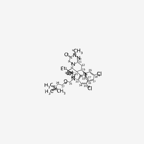 C=C(CC)[C@H]1N2CC(=O)N(C)N=C2C[C@@H](c2cccc(Cl)c2)[C@]12C(=O)N(COCC[Si](C)(C)C)c1cc(Cl)ccc12